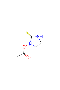 CC(=O)ON1CCNC1=S